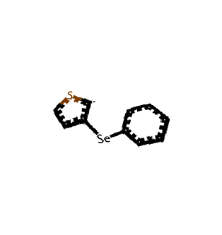 [c]1sccc1[Se]c1ccccc1